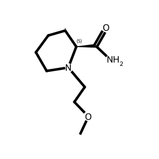 COCCN1CCC[CH][C@H]1C(N)=O